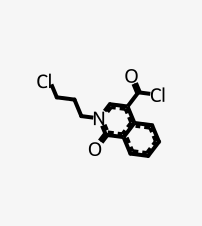 O=C(Cl)c1cn(CCCCl)c(=O)c2ccccc12